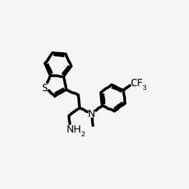 CN(c1ccc(C(F)(F)F)cc1)C(CN)Cc1csc2ccccc12